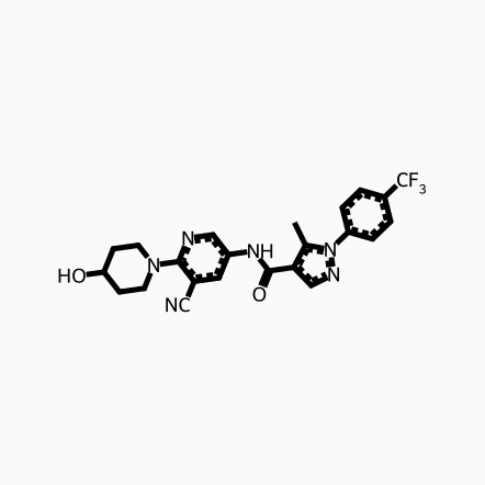 Cc1c(C(=O)Nc2cnc(N3CCC(O)CC3)c(C#N)c2)cnn1-c1ccc(C(F)(F)F)cc1